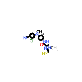 Cn1cc(C(=O)N[C@H]2CC[C@H](N(C)c3ccc(C#N)c(Cl)c3)CC2)nc1CS